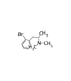 CC(Cc1ccccc1Br)N(C)C